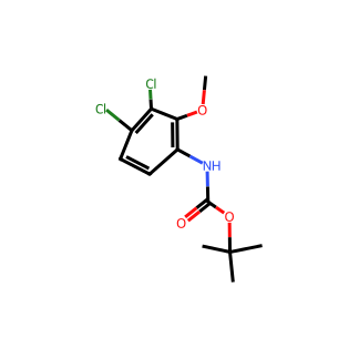 COc1c(NC(=O)OC(C)(C)C)ccc(Cl)c1Cl